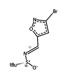 CC(C)(C)[S@@+]([O-])/N=C/c1cc(Br)no1